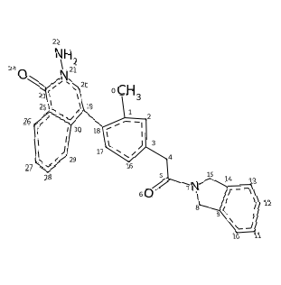 Cc1cc(CC(=O)N2Cc3ccccc3C2)ccc1-c1cn(N)c(=O)c2ccccc12